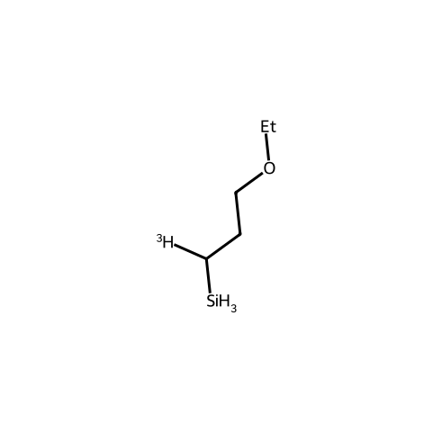 [3H]C([SiH3])CCOCC